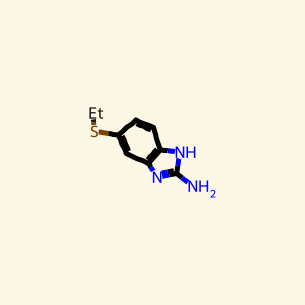 CCSc1ccc2[nH]c(N)nc2c1